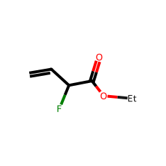 C=CC(F)C(=O)OCC